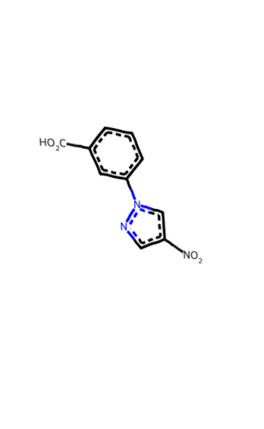 O=C(O)c1cccc(-n2cc([N+](=O)[O-])cn2)c1